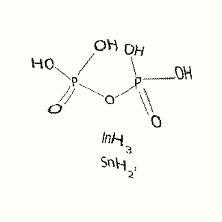 O=P(O)(O)OP(=O)(O)O.[InH3].[SnH2]